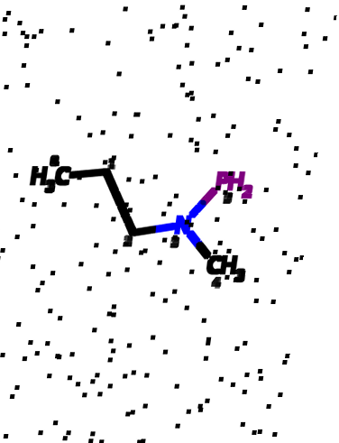 CCCN(C)P